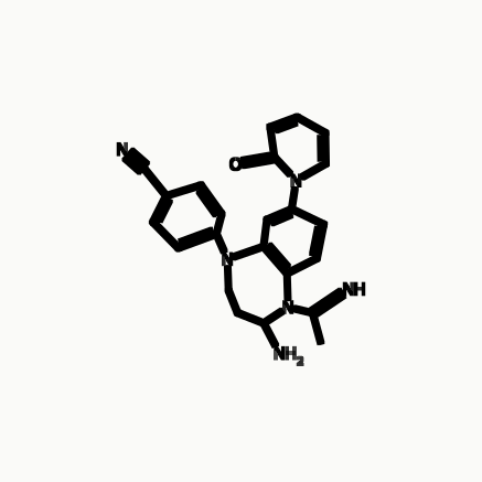 CC(=N)N1c2ccc(-n3ccccc3=O)cc2N(c2ccc(C#N)cc2)CCC1N